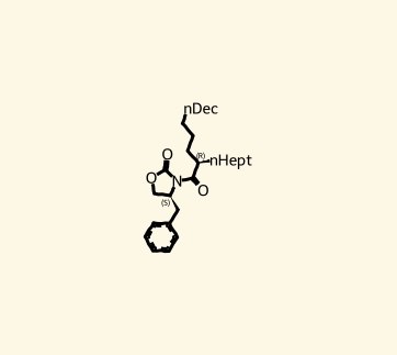 CCCCCCCCCCCCC[C@@H](CCCCCCC)C(=O)N1C(=O)OC[C@@H]1Cc1ccccc1